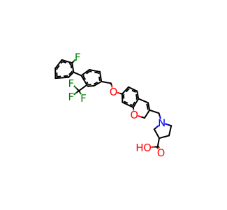 O=C(O)C1CCN(CC2=Cc3ccc(OCc4ccc(-c5ccccc5F)c(C(F)(F)F)c4)cc3OC2)C1